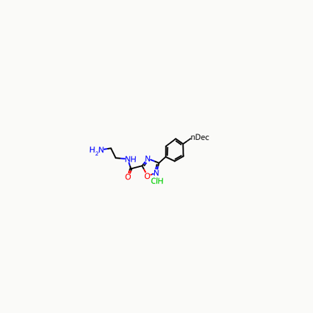 CCCCCCCCCCc1ccc(-c2noc(C(=O)NCCN)n2)cc1.Cl